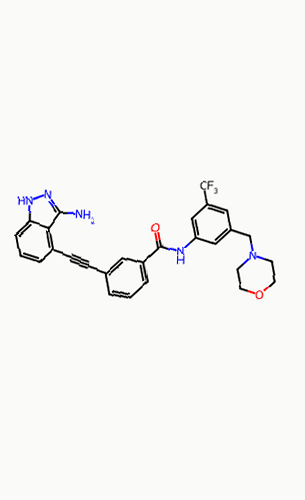 Nc1n[nH]c2cccc(C#Cc3cccc(C(=O)Nc4cc(CN5CCOCC5)cc(C(F)(F)F)c4)c3)c12